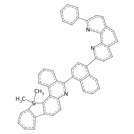 C[Si]1(C)c2ccccc2-c2ccc3nc(-c4ccc(-c5ccc6ccc7ccc(-c8ccccc8)nc7c6n5)c5ccccc45)c4ccccc4c3c21